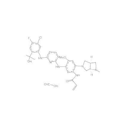 C=CC(=O)Nc1cc(Nc2nccc(Nc3cc(Cl)c(F)cc3C(C)(C)O)n2)c(OC)cc1N1C[C@H]2CN(C)[C@H]2C1.O=CO